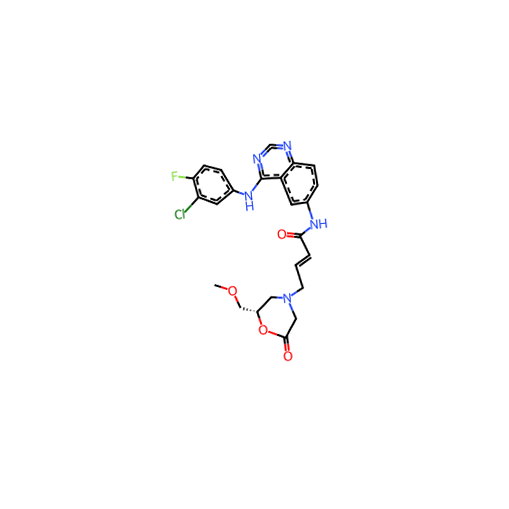 COC[C@@H]1CN(C/C=C/C(=O)Nc2ccc3ncnc(Nc4ccc(F)c(Cl)c4)c3c2)CC(=O)O1